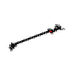 CCCNC(=O)C1=Cc2sc(CN3C[C@H]4C[C@@H]3CN4C(=O)CCOCCOCCOCCOCCOCCOCCOCCOCCOCCOCCC(=O)Oc3c(F)c(F)c([SH](=O)=O)c(F)c3F)cc2N=C(N)C1